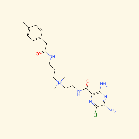 Cc1ccc(CC(=O)NCCC[N+](C)(C)CCNC(=O)c2nc(Cl)c(N)nc2N)cc1